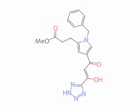 COC(=O)CCc1cc(C(=O)C=C(O)c2nn[nH]n2)cn1Cc1ccccc1